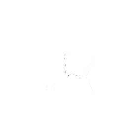 CC1=CSCN1N